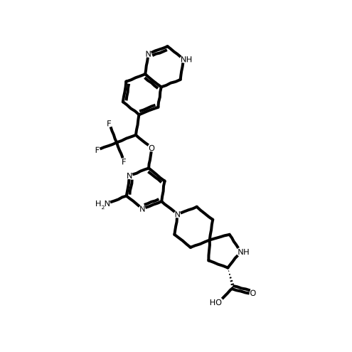 Nc1nc(OC(c2ccc3c(c2)CNC=N3)C(F)(F)F)cc(N2CCC3(CC2)CN[C@H](C(=O)O)C3)n1